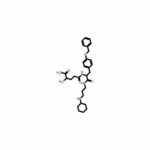 CC(C[CH]C(=O)NC(Cc1ccc(OCc2ccccc2)cc1)C(=O)NCCCNC1CCCCC1)C(N)=O